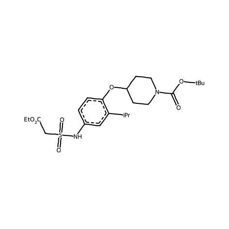 CCOC(=O)CS(=O)(=O)Nc1ccc(OC2CCN(C(=O)OC(C)(C)C)CC2)c(C(C)C)c1